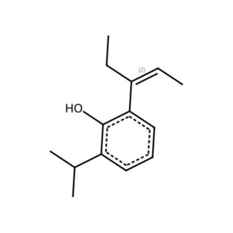 C/C=C(/CC)c1cccc(C(C)C)c1O